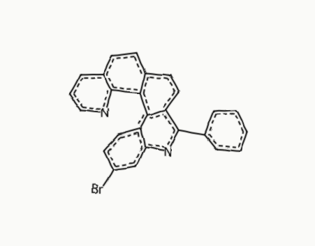 Brc1ccc2c(c1)nc(-c1ccccc1)c1ccc3ccc4cccnc4c3c12